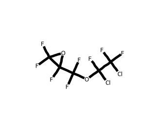 FC(F)(Cl)C(F)(Cl)OC(F)(F)C1(F)OC1(F)F